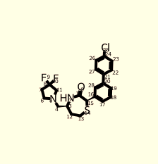 O=C1N[C@H](CN2CCC(F)(F)C2)CCS[C@@H]1c1cccc(-c2ccc(Cl)cc2)c1